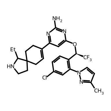 CCC1NCCC12CC=C(c1cc(O[C@H](c3ccc(Cl)cc3-n3ccc(C)n3)C(F)(F)F)nc(N)n1)CC2